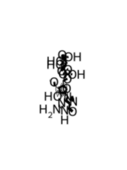 COC[C@H]1[C@@H](O)[C@H](n2cnc3c(=O)[nH]c(N)nc32)O[C@@H]1COP(=O)(O)OP(=O)(O)CP(=O)(O)O